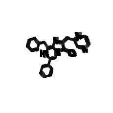 O=c1c(Cc2cnccn2)nc2c(Cc3ccccc3)[nH]c(-c3ccccc3)cn1-2